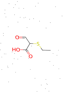 CCSC(C=O)C(=O)O